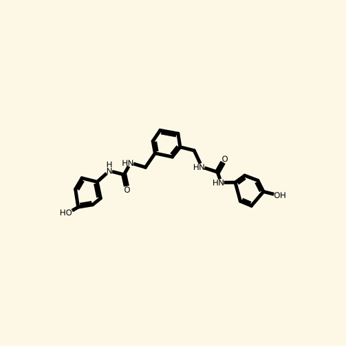 O=C(NCc1cccc(CNC(=O)Nc2ccc(O)cc2)c1)Nc1ccc(O)cc1